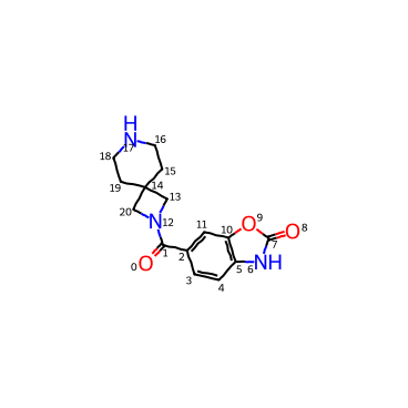 O=C(c1ccc2[nH]c(=O)oc2c1)N1CC2(CCNCC2)C1